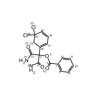 NC(=O)C(OC(=O)c1ccccc1)(C(N)=O)C1=CC=CC(Cl)(Cl)C1